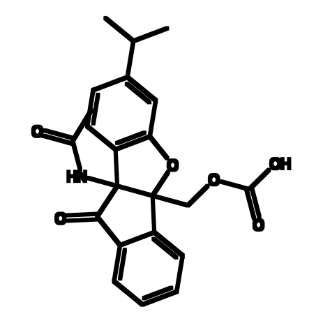 CC(=O)NC12C(=O)c3ccccc3C1(COC(=O)O)Oc1cc(C(C)C)ccc12